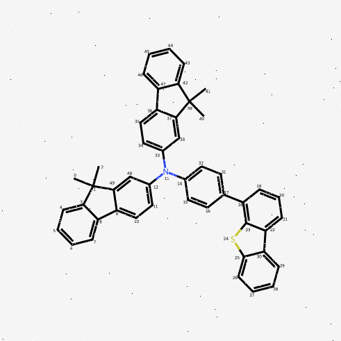 CC1(C)c2ccccc2-c2ccc(N(c3ccc(-c4cccc5c4sc4ccccc45)cc3)c3ccc4c(c3)C(C)(C)c3ccccc3-4)cc21